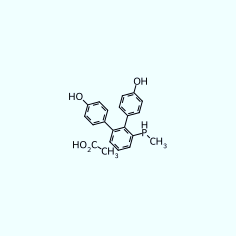 CC(=O)O.CPc1cccc(-c2ccc(O)cc2)c1-c1ccc(O)cc1